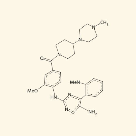 CNc1ccccc1-c1nc(Nc2ccc(C(=O)N3CCC(N4CCN(C)CC4)CC3)cc2OC)ncc1N